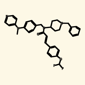 CN(c1ccncc1)c1ccc(CN(C(=O)C=Cc2ccc(OC(F)F)cc2)C2CCN(Cc3ccccc3)CC2)cc1